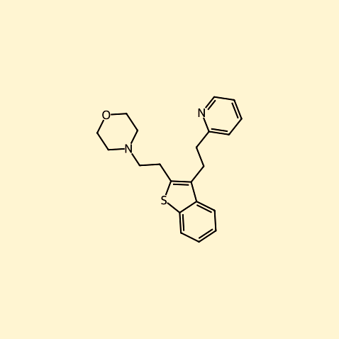 c1ccc(CCc2c(CCN3CCOCC3)sc3ccccc23)nc1